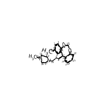 Cc1ccc2c(c1)C(=CCCN1CCN(C)CC1)c1ccccc1OCO2